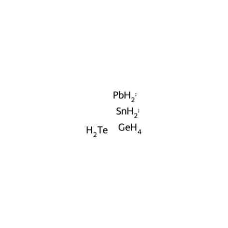 [GeH4].[PbH2].[SnH2].[TeH2]